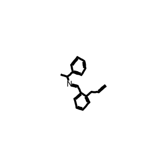 C=CCc1ccccc1/C=N/C(C)c1ccccc1